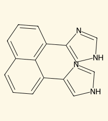 c1cc(-c2c[nH]cn2)c2c(-c3c[nH]cn3)cccc2c1